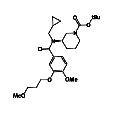 COCCCOc1cc(C(=O)N(CC2CC2)[C@@H]2CCCN(C(=O)OC(C)(C)C)C2)ccc1OC